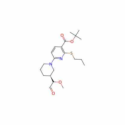 CCCSc1nc(N2CCC[C@H](C(C=O)OC)C2)ccc1C(=O)OC(C)(C)C